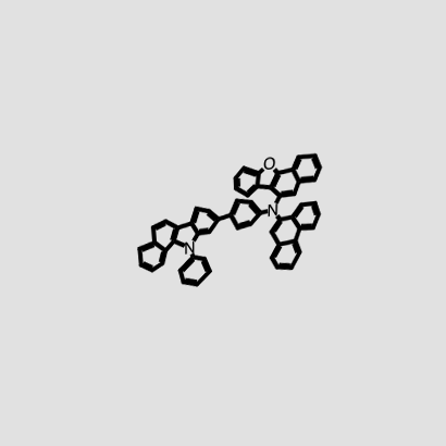 c1ccc(-n2c3cc(-c4ccc(N(c5cc6ccccc6c6ccccc56)c5cc6ccccc6c6oc7ccccc7c56)cc4)ccc3c3ccc4ccccc4c32)cc1